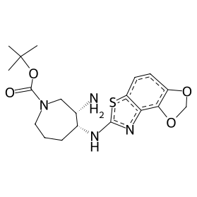 CC(C)(C)OC(=O)N1CCC[C@@H](Nc2nc3c4c(ccc3s2)OCO4)[C@@H](N)C1